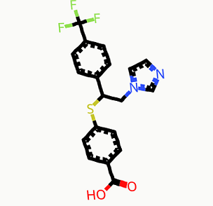 O=C(O)c1ccc(SC(Cn2ccnc2)c2ccc(C(F)(F)F)cc2)cc1